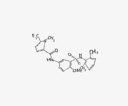 COc1ccc(NC(=O)c2ccc(C(F)(F)F)n2C)cc1S(=O)(=O)Nc1c(C)cccc1C